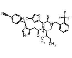 CC[C@H](C)[C@@H](CN(Cc1ccccc1C(F)(F)F)C(=S)Nc1cc(C)cs1)NC(=O)Cc1cncn1Cc1ccc(C#N)cc1